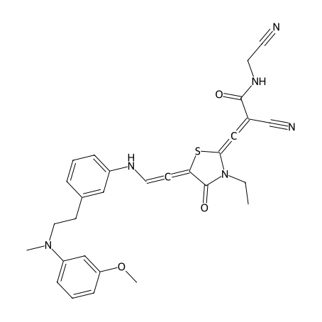 CCn1c(=C=C(C#N)C(=O)NCC#N)sc(=C=CNc2cccc(CCN(C)c3cccc(OC)c3)c2)c1=O